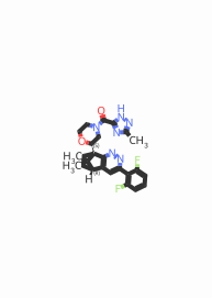 Cc1n[nH]c(C(=O)N2CCO[C@@H](C34CC[C@@H](c5cc(-c6c(F)cccc6F)nnc53)C4(C)C)C2)n1